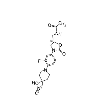 [C-]#[N+]CC1(O)CCN(c2ccc(N3C[C@H](CNC(C)=O)OC3=O)cc2F)CC1